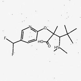 C[SiH](C)C(C(C)(C)C)C(C)(Oc1ccc(C(F)F)cn1)C(=O)O